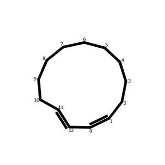 C1=C\CCCCCCCCC/C=C/1